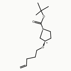 C=CCCCO[C@@H]1CCN(C(=O)OC(C)(C)C)C1